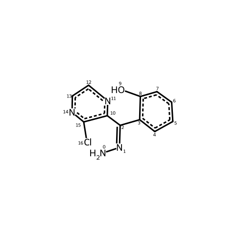 NN=C(c1ccccc1O)c1nccnc1Cl